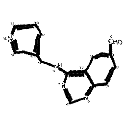 O=Cc1ccc2ncnc(NCc3cccnc3)c2c1